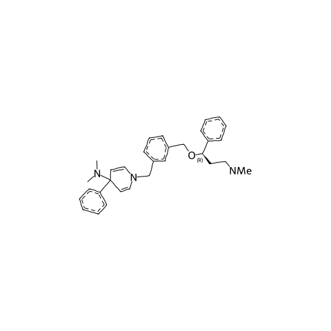 CNCC[C@@H](OCc1cccc(CN2C=CC(c3ccccc3)(N(C)C)C=C2)c1)c1ccccc1